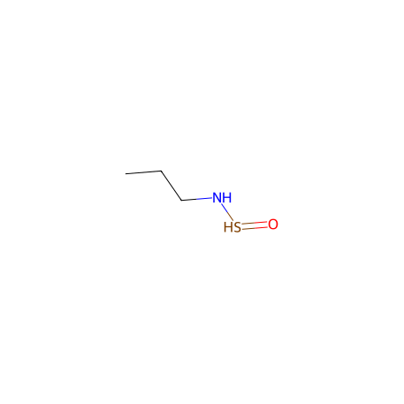 CCCN[SH]=O